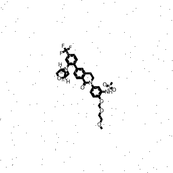 COCCOCOc1ccc(N2CCc3cc(-c4ccc(C(F)(F)F)cc4N4C[C@@H]5C[C@H]4CO5)ccc3C2=O)cc1NS(C)(=O)=O